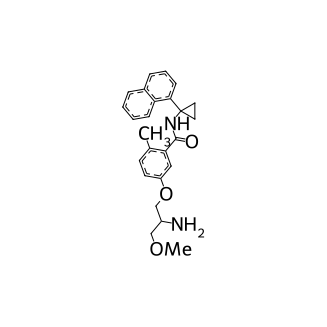 COCC(N)COc1ccc(C)c(C(=O)NC2(c3cccc4ccccc34)CC2)c1